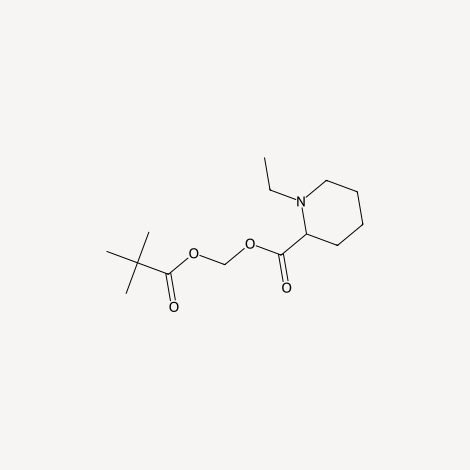 CCN1CCCCC1C(=O)OCOC(=O)C(C)(C)C